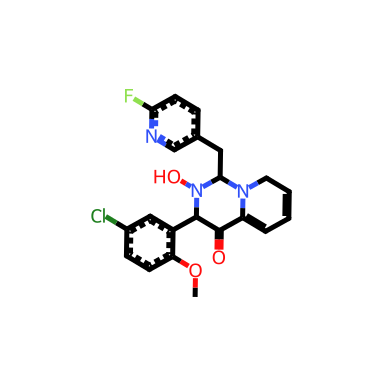 COc1ccc(Cl)cc1C1C(=O)C2=CC=CCN2C(Cc2ccc(F)nc2)N1O